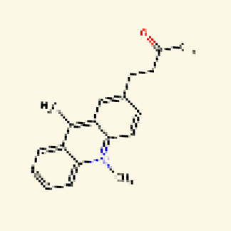 CC(=O)CCc1ccc2c(c1)c(C)c1ccccc1[n+]2C